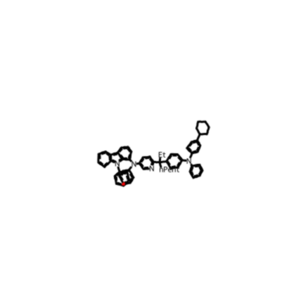 CCCCCC(CC)(c1ccc(N(c2ccccc2)c2ccc(C3CCCCC3)cc2)cc1)c1ccc(N(c2ccccc2)c2cccc3c4ccccc4n(-c4ccccc4)c23)cn1